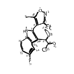 CCc1noc(C)c1-c1[nH]c2ccc(F)cc2c1C(=O)C(=O)Cl